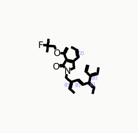 C=CC(=C\C)/C(/C=C/C(=C\C)CN1CC(/C=C\C)=C(C(=C)OCC(C)(C)F)C1=O)=C/C